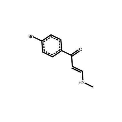 CN/C=C/C(=O)c1ccc(Br)cc1